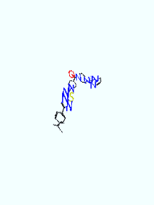 CC(C)c1ccc(-c2cn3nc(N4CCC(C(=O)N5CCCN(c6ncccn6)CC5)CC4)sc3n2)cc1